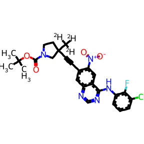 [2H]C([2H])([2H])C1(C#Cc2cc3ncnc(Nc4cccc(Cl)c4F)c3cc2[N+](=O)[O-])CCN(C(=O)OC(C)(C)C)C1